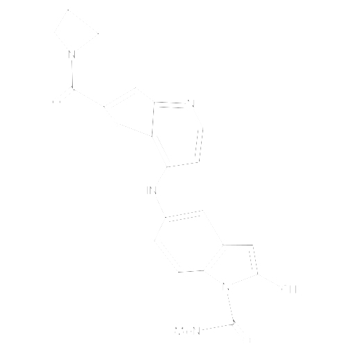 CNC(=O)n1c(C)cc2cc(Nc3ccnc4cc(C(=O)N5CCC5)sc34)ccc21